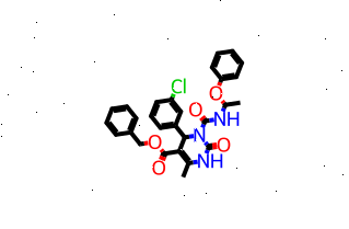 CC1=C(C(=O)OCc2ccccc2)C(c2cccc(Cl)c2)N(C(=O)NC(C)Oc2ccccc2)C(=O)N1